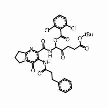 CC(C)(C)OC(=O)CCC(=O)C(NC(=O)c1nc2n(c(=O)c1NC(=O)CCc1ccccc1)CCC2)OC(=O)c1c(Cl)cccc1Cl